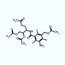 CC(=O)OCc1c(I)c(N)c(I)c(C(=O)NC(COC(C)=O)C(COC(C)=O)OC(C)=O)c1I